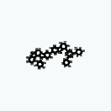 c1ccc(-c2nc(-c3ccccc3)nc(-c3cccc4c3sc3cc(-c5ccc6c(c5)c5ccc7sc8ccccc8c7c5n6-c5ccccc5)ccc34)n2)cc1